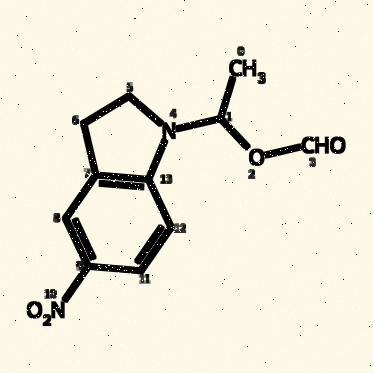 CC(OC=O)N1CCc2cc([N+](=O)[O-])ccc21